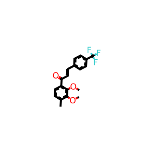 COc1c(C)ccc(C(=O)/C=C/c2ccc(C(F)(F)F)cc2)c1OC